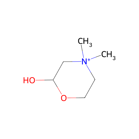 C[N+]1(C)CCOC(O)C1